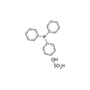 O=S(=O)(O)O.c1ccc(P(c2ccccc2)c2ccccc2)cc1